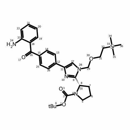 CC(C)(C)OC(=O)N1CCC[C@H]1c1nc(-c2ccc(C(=O)c3ccccc3N)cc2)cn1COCC[Si](C)(C)C